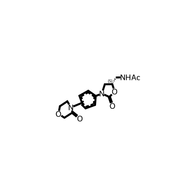 CC(=O)NC[C@H]1CN(c2ccc(N3CCOCC3=O)cc2)C(=O)O1